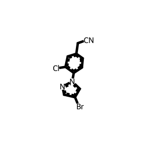 N#CCc1ccc(-n2cc(Br)cn2)c(Cl)c1